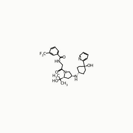 CC(C)(O)[C@@H]1C[C@H](N[C@H]2CC[C@@](O)(c3ccccn3)CC2)CN1C(=O)CNC(=O)c1cccc(C(F)(F)F)c1